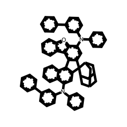 c1ccc(-c2cccc(N(c3ccccc3)c3cc4c(c5ccccc35)-c3c(cc(N(c5ccccc5)c5cccc(-c6ccccc6)c5)c5oc6ccccc6c35)C43C4CC5CC(C4)CC3C5)c2)cc1